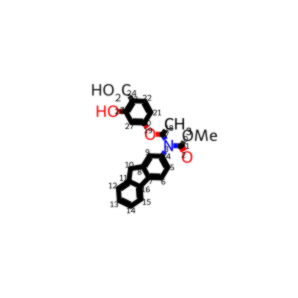 COC(=O)N(c1ccc2c(c1)Cc1ccccc1-2)C(C)Oc1ccc(C(=O)O)c(O)c1